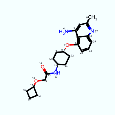 Cc1cc(N)c2c(O[C@H]3CC[C@H](NC(=O)COC4CCC4)CC3)cccc2n1